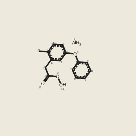 Cc1ccc(Oc2ccccc2)cc1CC(=O)OO.[AlH3]